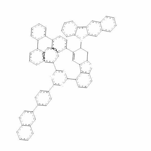 C1=C(c2ccc(-c3ccccc3-c3ccccc3)cc2)C(n2c3ccccc3c3cc4ccccc4cc32)Cc2oc3cccc(-c4nc(-c5ccccc5)nc(-c5ccc(-c6ccc7ccccc7c6)cc5)n4)c3c21